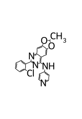 CC1Oc2cc3nc(-c4ccccc4Cl)nc(Nc4ccncc4)c3cc2O1